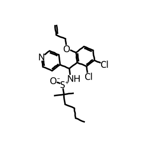 C=CCOc1ccc(Cl)c(Cl)c1C(N[S+]([O-])C(C)(C)CCCC)c1ccncc1